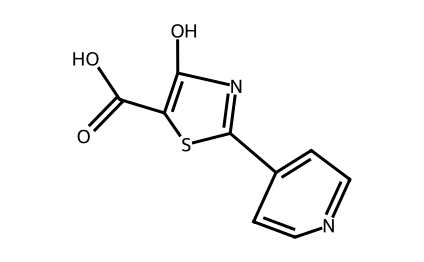 O=C(O)c1sc(-c2ccncc2)nc1O